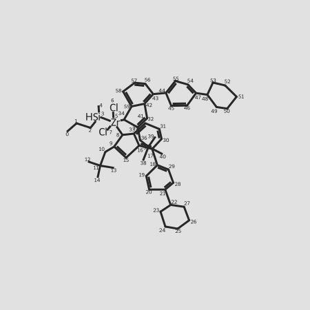 CCC[SiH](C)[Zr]([Cl])([Cl])([CH]1C(CC(C)(C)C)=Cc2c(-c3ccc(C4CCCCC4)cc3)cccc21)[CH]1C(CC(C)(C)C)=Cc2c(-c3ccc(C4CCCCC4)cc3)cccc21